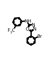 FC(F)(F)c1cccc(Nc2nnc(-c3ccccc3Br)o2)c1